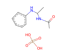 CC(=O)NC(C)Nc1ccccc1.O=S(=O)(O)O